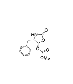 COC(=O)O[C@@H]1OC(=O)N[C@H]1Cc1ccccc1